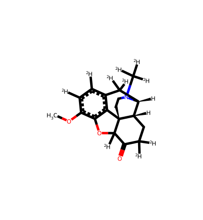 [2H]c1c([2H])c2c3c(c1OC)OC1([2H])C(=O)C([2H])([2H])C[C@H]4[C@H](N(C([2H])([2H])[2H])CC[C@@]341)C2([2H])[2H]